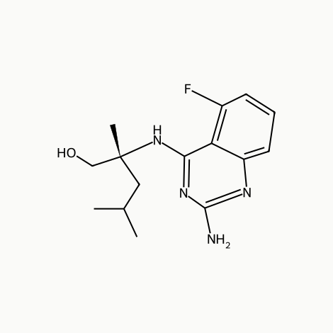 CC(C)C[C@](C)(CO)Nc1nc(N)nc2cccc(F)c12